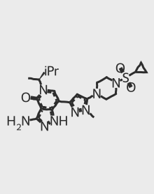 CC(C)[C@H](C)n1cc(-c2cc(N3CCN(S(=O)(=O)C4CC4)CC3)n(C)n2)c2[nH]nc(N)c2c1=O